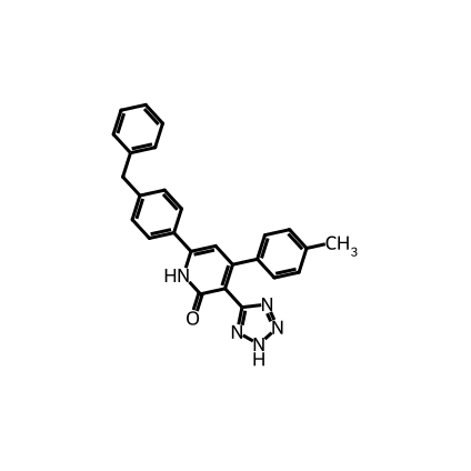 Cc1ccc(-c2cc(-c3ccc(Cc4ccccc4)cc3)[nH]c(=O)c2-c2nn[nH]n2)cc1